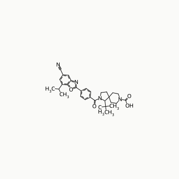 CC(C)c1cc(C#N)cc2nc(-c3ccc(C(=O)N4CCC5(CCN(C(=O)O)CC5)C4C(C)(C)C)cc3)oc12